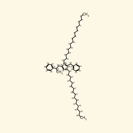 CCCCCCCCCCCCCCCCCC[n+]1c(CC(C)c2ccccc2)cn(CCCCCCCCCCCCCCCCC)c1Cc1ccccc1